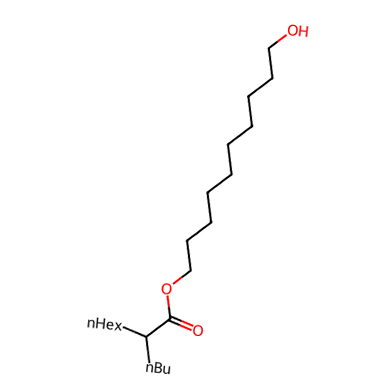 CCCCCCC(CCCC)C(=O)OCCCCCCCCCCO